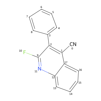 N#Cc1c(-c2ccccc2)c(F)nc2ccccc12